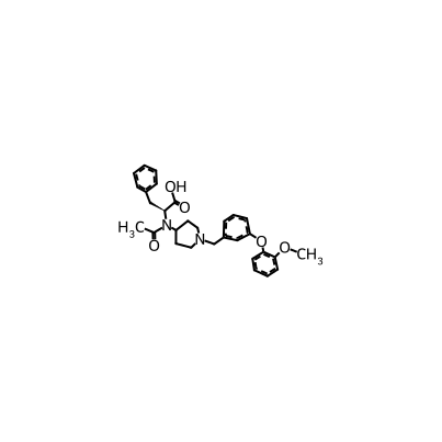 COc1ccccc1Oc1cccc(CN2CCC(N(C(C)=O)[C@@H](Cc3ccccc3)C(=O)O)CC2)c1